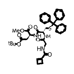 COC(=O)[C@H](CC(=O)OC(C)(C)C)NC(=O)[C@H](CSC(c1ccccc1)(c1ccccc1)c1ccccc1)NC(=O)CNC(=O)C1=CCC1